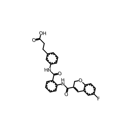 O=C(O)CCc1cccc(NC(=O)c2ccccc2NC(=O)C2=Cc3cc(F)ccc3OC2)c1